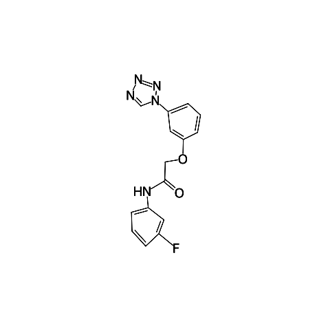 O=C(COc1cccc(-n2cnnn2)c1)Nc1cccc(F)c1